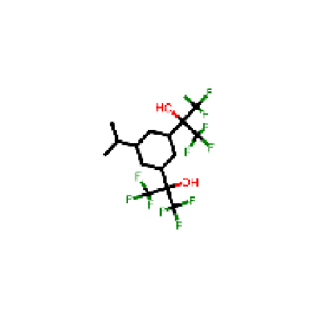 CC(C)C1CC(C(O)(C(F)(F)F)C(F)(F)F)CC(C(O)(C(F)(F)F)C(F)(F)F)C1